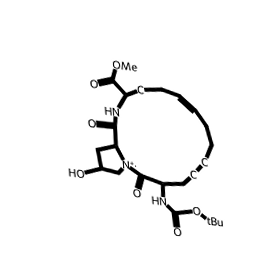 COC(=O)C1CCC=CCCCCCC(NC(=O)OC(C)(C)C)C(=O)[N+]2CC(O)CC2C(=O)N1